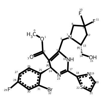 COC(=O)C1=C(CN2CC(F)(F)C[C@@H]2CO)NC(c2nccs2)=N[C@H]1c1ccc(F)cc1Br